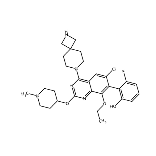 CCOc1c(-c2c(O)cccc2F)c(Cl)cc2c(N3CCC4(CC3)CNC4)nc(OC3CCN(C)CC3)nc12